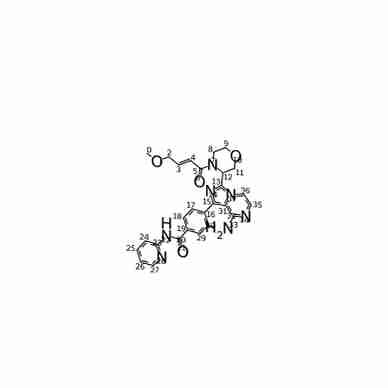 COCC=CC(=O)N1CCOCC1c1nc(-c2ccc(C(=O)Nc3ccccn3)cc2)c2c(N)nccn12